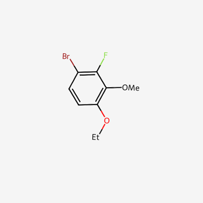 CCOc1ccc(Br)c(F)c1OC